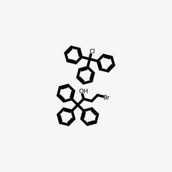 ClC(c1ccccc1)(c1ccccc1)c1ccccc1.OC(CCBr)C(c1ccccc1)(c1ccccc1)c1ccccc1